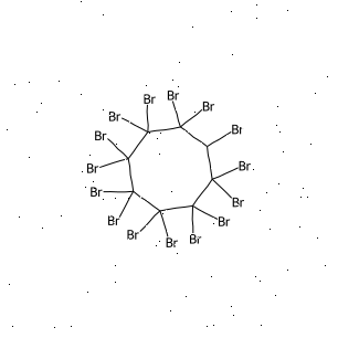 BrC1C(Br)(Br)C(Br)(Br)C(Br)(Br)C(Br)(Br)C(Br)(Br)C(Br)(Br)C1(Br)Br